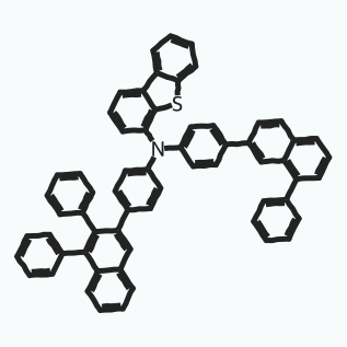 c1ccc(-c2c(-c3ccc(N(c4ccc(-c5ccc6cccc(-c7ccccc7)c6c5)cc4)c4cccc5c4sc4ccccc45)cc3)cc3ccccc3c2-c2ccccc2)cc1